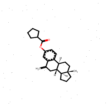 C=C1C[C@@H]2[C@H](CC[C@]3(C)CCC[C@@H]23)c2ccc(OC(=O)C3CCCC3)cc21